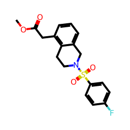 COC(=O)Cc1cccc2c1CCN(S(=O)(=O)c1ccc(F)cc1)C2